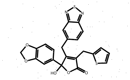 O=C1OC(O)(c2ccc3c(c2)OCO3)C(Cc2ccc3nsnc3c2)=C1Cc1cccs1